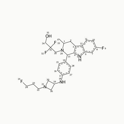 CC1Cc2c([nH]c3cc(F)ccc23)C(c2ccc(NC3CN(CCCF)C3)cc2)N1CC(F)(F)CO